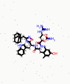 Cc1cc(O)cc(C)c1C[C@H](NC(=O)[C@@H](CCNC(=N)N)OC(N)=O)C(=O)N[C@@H](Cc1c[nH]c2ccccc12)c1nc(CC23CC4CC(CC(C4)C2)C3)no1